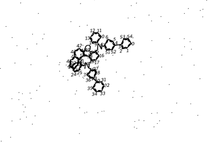 c1ccc(-c2ccc(N(c3ccccc3)c3ccc(N(c4ccccc4)c4ccc(-c5ccccc5)cc4)c4c3oc3ccc5ccccc5c34)cc2)cc1